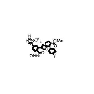 COC(=O)c1ccc(N2C=NNN2C(F)(F)F)cc1C1=C[C@@]2(CC[C@H](C(=O)OC)[C@H]2c2ccc(F)cc2)OC1